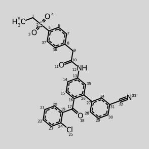 CCS(=O)(=O)c1ccc(CC(=O)Nc2ccc(C(=O)c3ccccc3Cl)c(-c3cccc(C#N)c3)c2)cc1